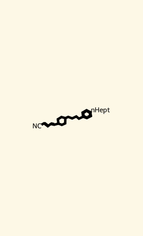 CCCCCCCc1ccc(CCCCC2CCC(C=CC=CC#N)CC2)cc1